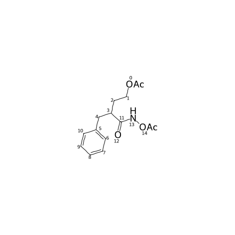 CC(=O)OCCC(Cc1ccccc1)C(=O)NOC(C)=O